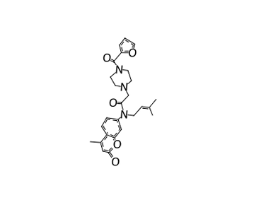 CC(C)=CCN(C(=O)CN1CCN(C(=O)c2ccco2)CC1)c1ccc2c(C)cc(=O)oc2c1